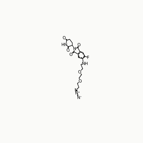 [N-]=[N+]=NCCOCCOCCNc1cc2c(cc1F)C(=O)N(C1CCC(=O)NC1=O)C2=O